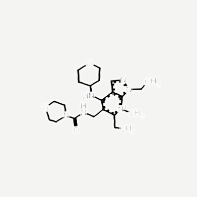 CCc1c(CNC(=O)N2CCOCC2)c(NC2CCOCC2)c2cnn(CC)c2[n+]1C